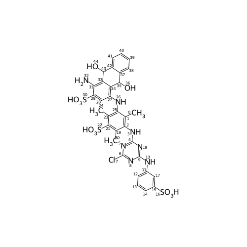 Cc1c(Nc2nc(Cl)nc(Nc3cccc(S(=O)(=O)O)c3)n2)c(C)c(S(=O)(=O)O)c(C)c1Nc1cc(S(=O)(=O)O)c(N)c2c1C(O)c1ccccc1[C]2O